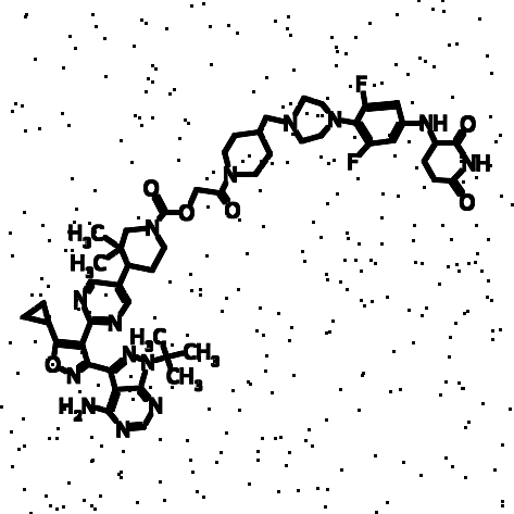 CC1(C)CN(C(=O)OCC(=O)N2CCC(CN3CCN(c4c(F)cc(NC5CCC(=O)NC5=O)cc4F)CC3)CC2)CCC1c1cnc(-c2c(-c3nn(C(C)(C)C)c4ncnc(N)c34)noc2C2CC2)nc1